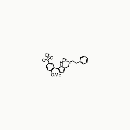 CCN(CCc1ccccc1)Cc1ccc(-c2cc(S(=O)(=O)CC)ccc2OC)[nH]1